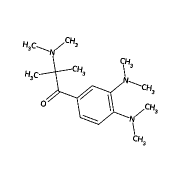 CN(C)c1ccc(C(=O)C(C)(C)N(C)C)cc1N(C)C